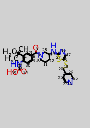 CC(C)(C)c1cc(C(=O)N2CCCC(Nc3ncc(SCc4ccncc4)s3)C2)ccc1NC(=O)O